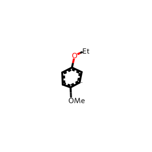 CCOc1c[c]c(OC)cc1